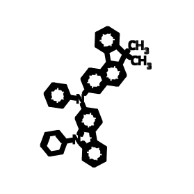 CC1(C)c2ccccc2-c2c1ccc1cc(N(c3ccccc3)c3ccc4c5ccccc5n(C5=CC=CCC5)c4c3)ccc21